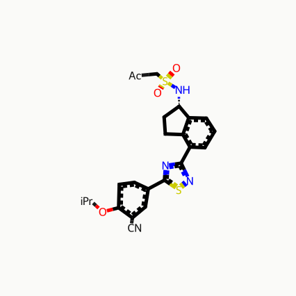 CC(=O)CS(=O)(=O)N[C@H]1CCc2c(-c3nsc(-c4ccc(OC(C)C)c(C#N)c4)n3)cccc21